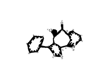 O=C1C(=O)c2c(-c3ccccc3)noc2-c2ncccc21